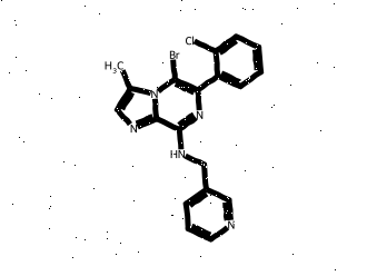 Cc1cnc2c(NCc3cccnc3)nc(-c3ccccc3Cl)c(Br)n12